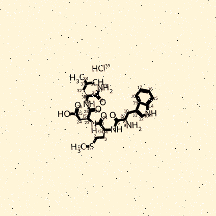 CSCC[C@H](NC(=O)[C@@H](N)Cc1c[nH]c2ccccc12)C(=O)N[C@@H](CC(=O)O)C(=O)N[C@H](CC(C)C)C(N)=O.Cl